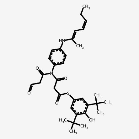 CC/C=C\C=C(/C)Nc1ccc(N(C(=O)CC=O)C(=O)CC(=O)Sc2cc(C(C)(C)C)c(O)c(C(C)(C)C)c2)cc1